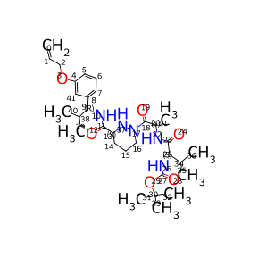 C=CCOc1cccc([C@H](NC(=O)[C@@H]2CCCN(C(=O)[C@H](C)NC(=O)[C@@H](NC(=O)OC(C)(C)C)C(C)C)N2)C(C)C)c1